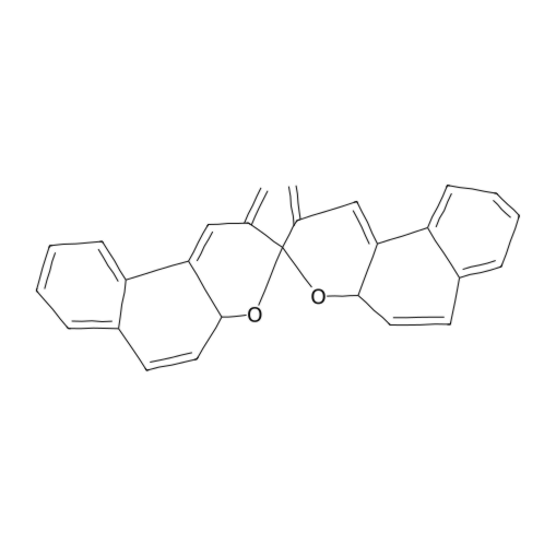 C=C1C=C2c3ccccc3C=CC2OC12OC1C=Cc3ccccc3C1=CC2=C